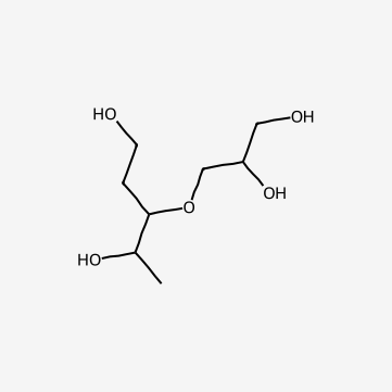 CC(O)C(CCO)OCC(O)CO